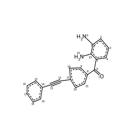 Nc1cccc(C(=O)c2ccc(C#Cc3ccccc3)cc2)c1N